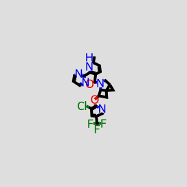 CC1C=CC(C(=O)N2CC3CC34CC(Oc3ncc(C(F)(F)F)cc3Cl)C24)=C(c2ncccn2)N1